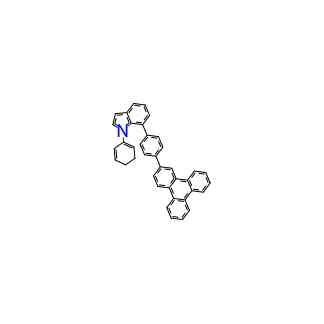 C1=CC(n2ccc3cccc(-c4ccc(-c5ccc6c7ccccc7c7ccccc7c6c5)cc4)c32)=CCC1